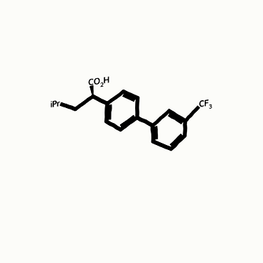 CC(C)C[C@@H](C(=O)O)c1ccc(-c2cccc(C(F)(F)F)c2)cc1